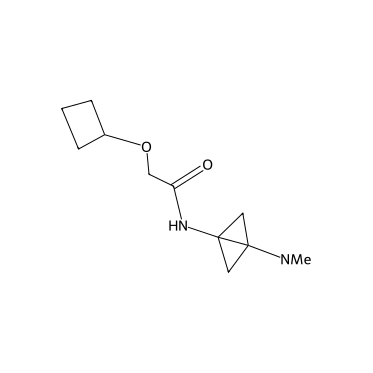 CNC12CC1(NC(=O)COC1CCC1)C2